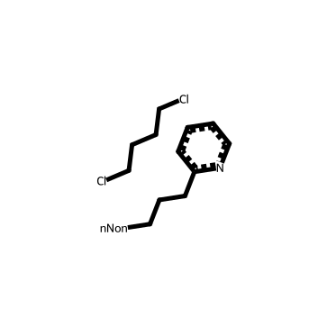 CCCCCCCCCCCCc1ccccn1.ClCCCCCl